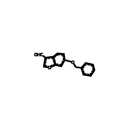 O=Cc1coc2cc(OCc3ccccc3)ccc12